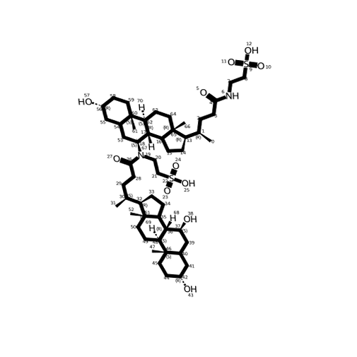 C[C@H](CCC(=O)NCCS(=O)(=O)O)[C@H]1CCC2[C@@H]3[C@@H](N(CCS(=O)(=O)O)C(=O)CC[C@H](C)[C@H]4CCC5[C@@H]6[C@@H](O)CC7C[C@H](O)CC[C@]7(C)[C@H]6CC[C@@]54C)CC4C[C@H](O)CC[C@]4(C)[C@H]3CC[C@@]21C